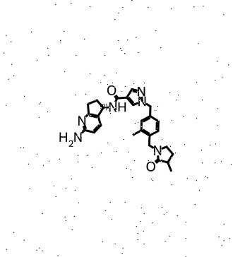 Cc1cc(Cn2cc(C(=O)N[C@@H]3CCc4nc(N)ccc43)cn2)ccc1CN1CCC(C)C1=O